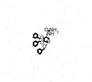 NC(=O)NC[C@@H]1CO[C@H](COCc2ccccc2)[C@H](OCc2ccccc2)[C@@H]1OCc1ccccc1